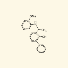 COc1ccccc1NC(C)c1cccc(-c2ccccc2)c1O